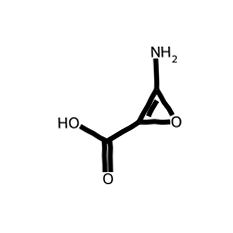 NC1=C(C(=O)O)O1